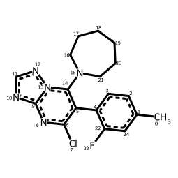 Cc1ccc(-c2c(Cl)nc3ncnn3c2N2CCCCCC2)c(F)c1